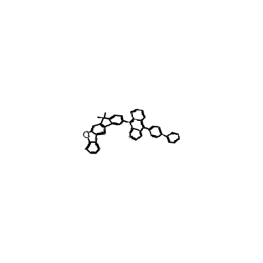 CC1(C)c2ccc(-c3c4ccccc4c(-c4ccc(-c5ccccc5)cc4)c4ccccc34)cc2-c2cc3c(cc21)oc1ccccc13